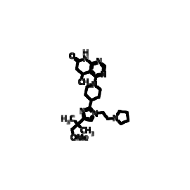 COCC(C)(C)c1cn(CCN2CCCC2)c(C2CCN(c3ncnc4c3C(C)CC(=O)N4)CC2)n1